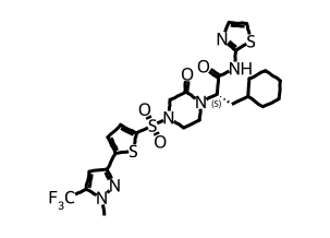 Cn1nc(-c2ccc(S(=O)(=O)N3CCN([C@@H](CC4CCCCC4)C(=O)Nc4nccs4)C(=O)C3)s2)cc1C(F)(F)F